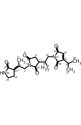 C/C(CN1C(=O)CC(C(C)CN2C(=O)C=C(C(C)C)C2=O)C1=O)=C1/CCNC1=O